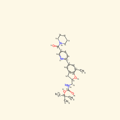 Cc1cc(-c2ccc(C(=O)N3CCCCC3)cn2)cc2c1OC(CNC(=O)OC(C)(C)C)C2